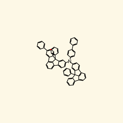 c1ccc(-c2ccc(N(c3ccc4c(c3)C3(c5ccccc5)c5ccccc5-c5cccc-4c53)c3ccc4c(c3)C3(c5ccccc5)c5ccc(-c6ccccc6)cc5-c5cccc-4c53)cc2)cc1